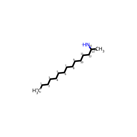 CCCCCCCCCCCCCC(C)[NH]